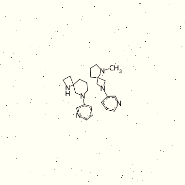 CN1CCCC12CN(c1cccnc1)C2.c1cncc(N2CCCC3(CCN3)C2)c1